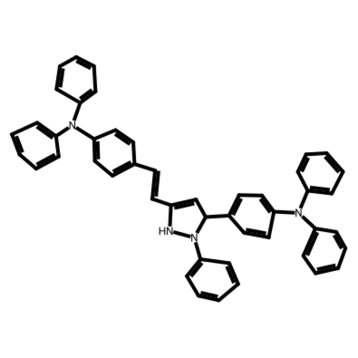 C(=Cc1ccc(N(c2ccccc2)c2ccccc2)cc1)C1=CC(c2ccc(N(c3ccccc3)c3ccccc3)cc2)N(c2ccccc2)N1